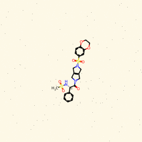 CS(=O)(=O)N[C@H](C(=O)N1CC2=C(C1)CN(S(=O)(=O)c1ccc3c(c1)OCCO3)C2)c1ccccc1